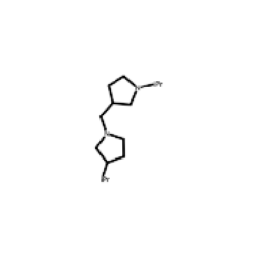 CC(C)C1CCN(CC2CCN(C(C)C)C2)C1